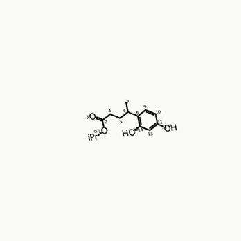 CC(C)OC(=O)CCC(C)c1ccc(O)cc1O